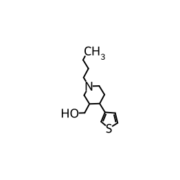 CCCCN1CCC(c2ccsc2)C(CO)C1